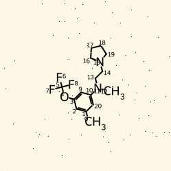 Cc1cc(OC(F)(F)F)cc(N(C)CCN2CCCC2)c1